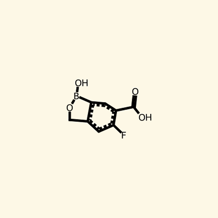 O=C(O)c1cc2c(cc1F)COB2O